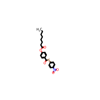 CCCCCCCC(=O)Oc1ccc(C(=O)Sc2ccc([N+](=O)[O-])cc2)cc1